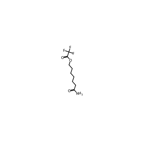 NC(=O)CCCCCCOC(=O)C(F)(F)F